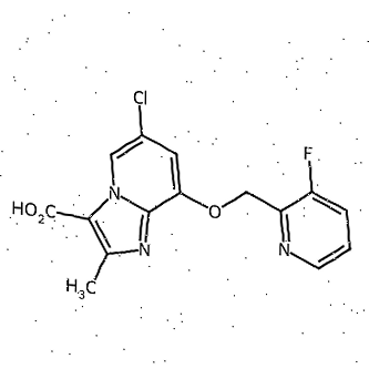 Cc1nc2c(OCc3ncccc3F)cc(Cl)cn2c1C(=O)O